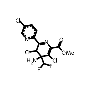 COC(=O)C1=C(Cl)C(N)(C(F)F)C(Cl)C(c2ccc(Cl)cn2)=N1